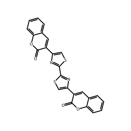 O=c1oc2ccccc2cc1-c1csc(-c2nc(-c3cc4ccccc4oc3=O)cs2)n1